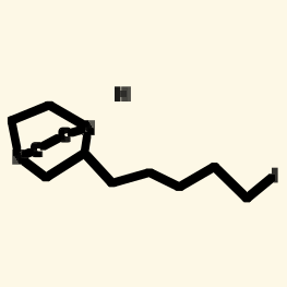 I.ICCCCCC1CN2CCN1CC2